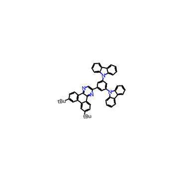 CC(C)(C)c1ccc2c(c1)c1cc(C(C)(C)C)ccc1c1nc(-c3cc(-n4c5ccccc5c5ccccc54)cc(-n4c5ccccc5c5ccccc54)c3)cnc21